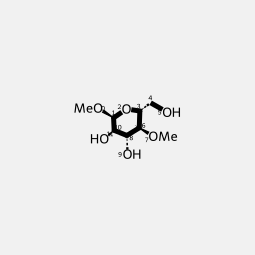 CO[C@H]1O[C@H](CO)[C@@H](OC)[C@H](O)[C@@H]1O